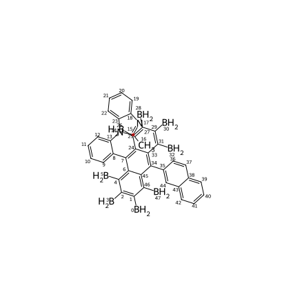 Bc1c(B)c(B)c2c(-c3ccccc3-n3c(C)nc4ccccc43)c3c(B)c(B)c(B)c(B)c3c(-c3ccc4ccccc4c3)c2c1B